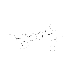 CON=C1CN2CCC[C@@]2(COc2nc3c4c(c(C(F)(F)F)c(-c5ccc(F)c6sc(N)c(C#N)c56)c(F)c4n2)OCCN3[C@H](C)c2cccnc2N)C1